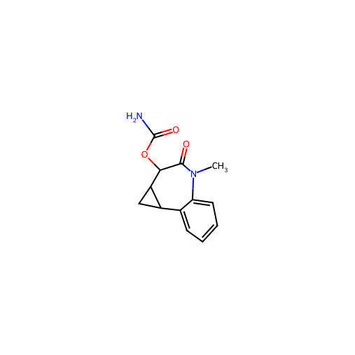 CN1C(=O)C(OC(N)=O)C2CC2c2ccccc21